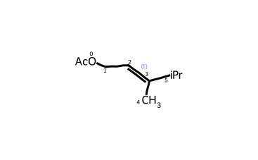 CC(=O)OC/C=C(\C)C(C)C